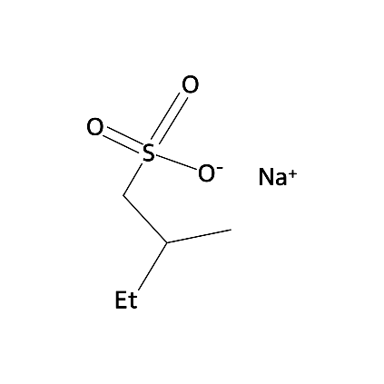 CCC(C)CS(=O)(=O)[O-].[Na+]